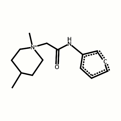 CC1CC[N+](C)(CC(=O)Nc2ccccc2)CC1